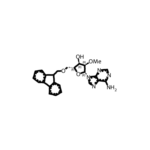 CO[C@@H]1[C@H](O)[C@@H](COCC2c3ccccc3-c3ccccc32)O[C@H]1n1cnc2c(N)ncnc21